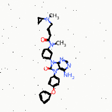 CN(C(=O)C=CCN(C)C1CC1)c1cccc(-n2c(=O)n(-c3ccc(Oc4ccccc4)cc3)c3c(N)ncnc32)c1